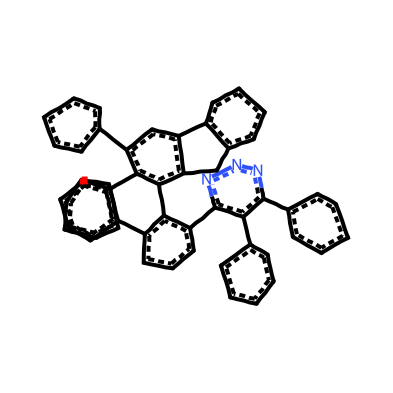 c1ccc(-c2cccc(-c3nnnc(-c4ccccc4)c3-c3ccccc3)c2-c2c3c(cc(-c4ccccc4)c2-c2ccccc2)-c2ccccc2C3)cc1